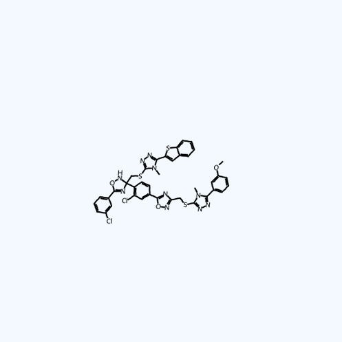 COc1cccc(-c2nnc(SCc3noc(-c4ccc(C5(CSc6nnc(-c7cc8ccccc8s7)n6C)N=C(c6cccc(Cl)c6)ON5)c(Cl)c4)n3)n2C)c1